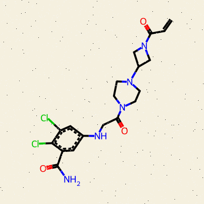 C=CC(=O)N1CC(N2CCN(C(=O)CNc3cc(Cl)c(Cl)c(C(N)=O)c3)CC2)C1